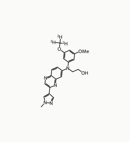 [2H]C([2H])([2H])Oc1cc(OC)cc(N(CCO)c2ccc3ncc(-c4cnn(C)c4)nc3c2)c1